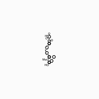 COc1cc(N2CCC(CN3CCN(c4ccc5c(c4)CN([C@H]4CCC(=O)NC4=O)C5=O)CC3)CC2)ccc1[C@H]1c2ccc(O)cc2CC[C@H]1C1CCCCC1